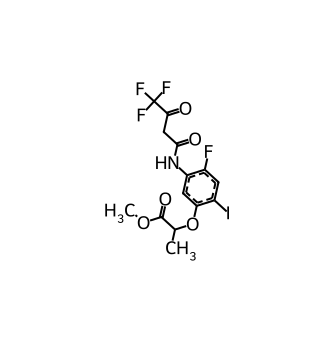 COC(=O)C(C)Oc1cc(NC(=O)CC(=O)C(F)(F)F)c(F)cc1I